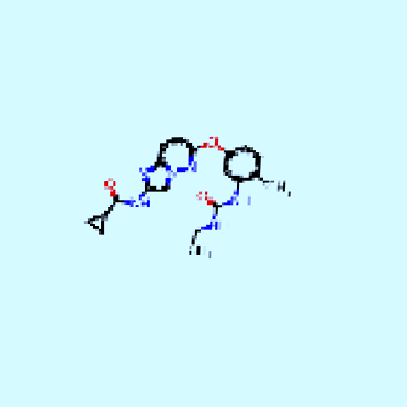 CCNC(=O)Nc1cc(Oc2ccc3nc(NC(=O)C4CC4)cn3n2)ccc1C